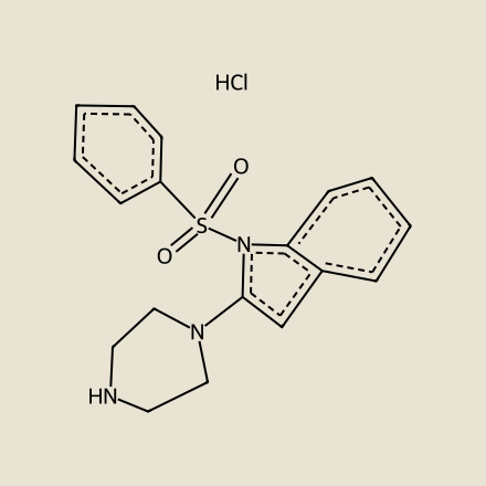 Cl.O=S(=O)(c1ccccc1)n1c(N2CCNCC2)cc2ccccc21